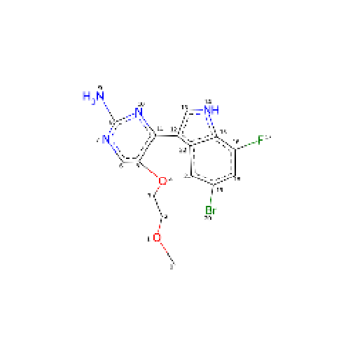 COCCOc1cnc(N)nc1-c1c[nH]c2c(F)cc(Br)cc12